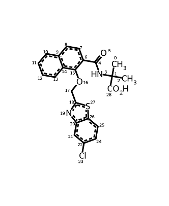 CC(C)(NC(=O)c1ccc2ccccc2c1OCc1nc2cc(Cl)ccc2s1)C(=O)O